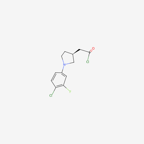 O=C(Cl)C[C@@H]1CCN(c2ccc(Cl)c(F)c2)C1